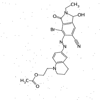 CCN1C(=O)c2c(cc(C#N)c(/N=N/c3ccc4c(c3)CCCN4CCOC(C)=O)c2Br)C1O